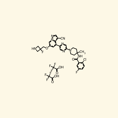 CC1(NC(=O)c2cc(F)ccc2Cl)CCN(c2cnc(-c3cc(OCC4(F)CNC4)cn4ncc(C#N)c34)cn2)CC1.O=C(O)C(F)(F)F.O=C(O)C(F)(F)F